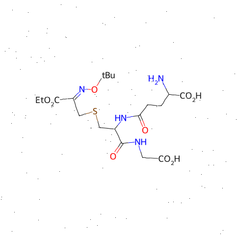 CCOC(=O)C(CSCC(NC(=O)CCC(N)C(=O)O)C(=O)NCC(=O)O)=NOC(C)(C)C